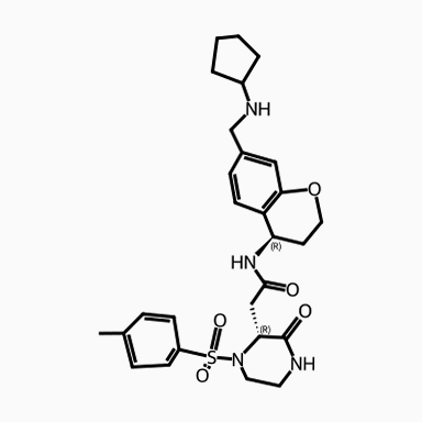 Cc1ccc(S(=O)(=O)N2CCNC(=O)[C@H]2CC(=O)N[C@@H]2CCOc3cc(CNC4CCCC4)ccc32)cc1